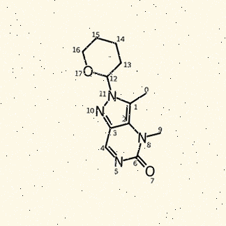 Cc1c2c(cnc(=O)n2C)nn1C1CCCCO1